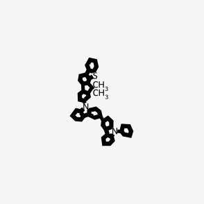 CC1(C)c2cc(-n3c4ccccc4c4cc(-c5ccc6c(c5)c5ccccc5n6-c5ccccc5)ccc43)ccc2-c2ccc3c(sc4ccccc43)c21